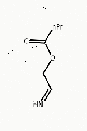 CCCC(=O)OCC=N